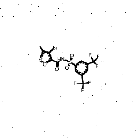 Cc1noc(C(=O)NS(=O)(=O)c2cc(C(F)(F)F)cc(C(F)(F)F)c2)c1Br